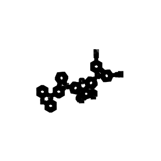 N#Cc1ccc2c(c1)c1cc(C#N)ccc1n2-c1ccc2c(c1)Oc1cc(-n3c4ccccc4c4cc(N5c6ccccc6Sc6ccccc65)ccc43)ccc1C21c2cccnc2-c2ncccc21